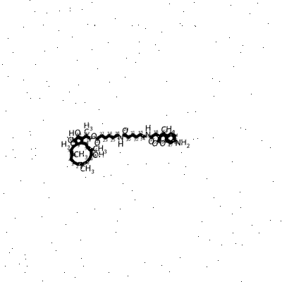 C/C1=C/CC/C(C)=C/CC2(C)C(=O)C(O)=C(C(C)COC(=O)CCCCCNC(=O)CCCCCNC(=O)Cc3c(C)c4ccc(N)cc4oc3=O)C2C/C=C(\C)C(O)CC1